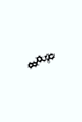 O=c1c2ccncc2ncn1Cc1cccc(-c2ccc3ccccc3c2)c1